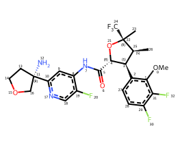 COc1c([C@H]2[C@H](C(=O)Nc3cc([C@]4(N)CCOC4)ncc3F)O[C@@](C)(C(F)(F)F)[C@H]2C)ccc(F)c1F